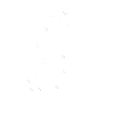 NS(=O)(=O)c1nc2ccc(OCc3cn([C@@H](Cc4ccccc4)C(=O)N4CCN(c5ccccn5)CC4)nn3)cc2s1